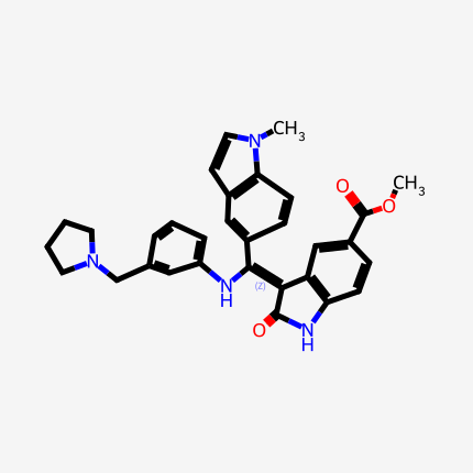 COC(=O)c1ccc2c(c1)/C(=C(/Nc1cccc(CN3CCCC3)c1)c1ccc3c(ccn3C)c1)C(=O)N2